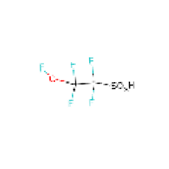 O=S(=O)(O)C(F)(F)C(F)(F)OF